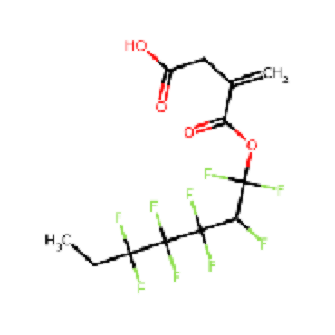 C=C(CC(=O)O)C(=O)OC(F)(F)C(F)C(F)(F)C(F)(F)C(F)(F)CC